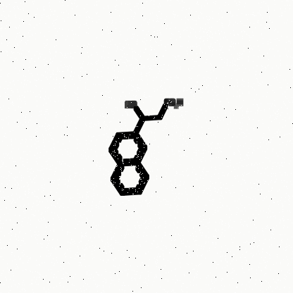 O=C(O)CC(O)c1ccc2ccccc2c1